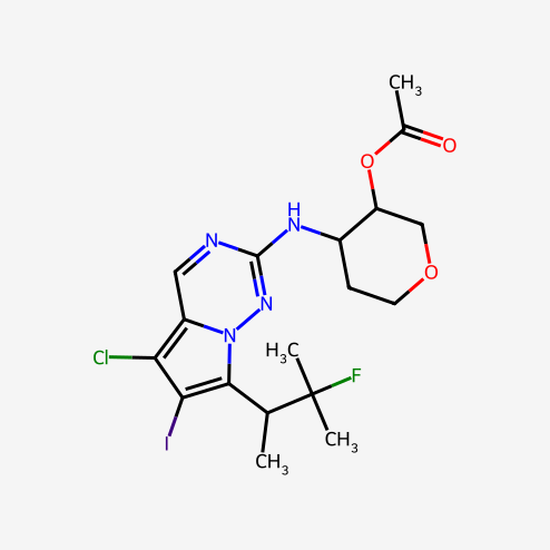 CC(=O)OC1COCCC1Nc1ncc2c(Cl)c(I)c(C(C)C(C)(C)F)n2n1